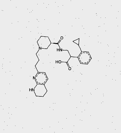 O=C(O)C(CNC(=O)[C@@H]1CCCN(CCCc2ccc3c(n2)NCCC3)C1)c1ccccc1C1CC1